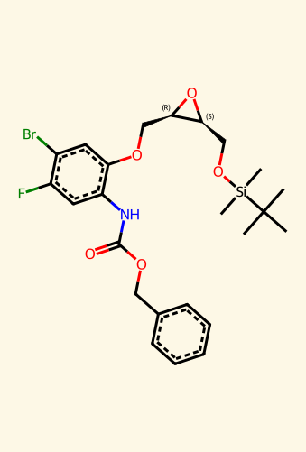 CC(C)(C)[Si](C)(C)OC[C@@H]1O[C@@H]1COc1cc(Br)c(F)cc1NC(=O)OCc1ccccc1